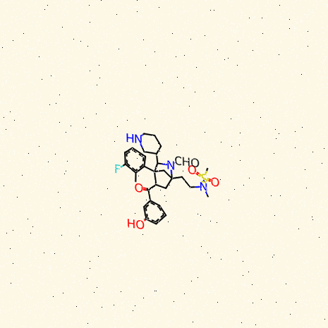 Cc1c(F)cccc1C12CC(CCN(C)S(C)(=O)=O)(CC1C(=O)c1cccc(O)c1)N(C=O)C2C1CCCNC1